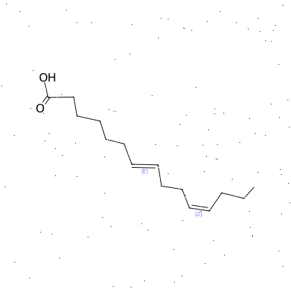 CCC/C=C\CC/C=C/CCCCCC(=O)O